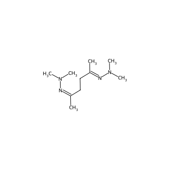 CC(CCC(C)=NN(C)C)=NN(C)C